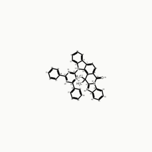 CC1(C)c2c(ccc3c4ccccc4n(-c4nc(-c5ccccc5)nc(-c5ccccc5)n4)c23)C(=O)n2c1nc1ccccc12